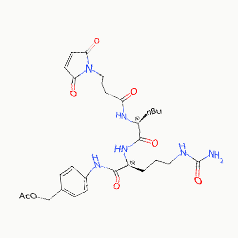 CCCC[C@H](NC(=O)CCN1C(=O)C=CC1=O)C(=O)N[C@@H](CCCNC(N)=O)C(=O)Nc1ccc(COC(C)=O)cc1